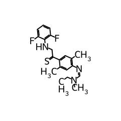 CCN(C)/C=N\c1cc(C)c(C(=S)CNc2c(F)cccc2F)cc1C